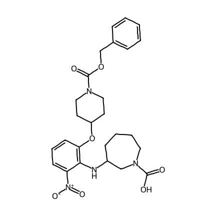 O=C(O)N1CCCCC(Nc2c(OC3CCN(C(=O)OCc4ccccc4)CC3)cccc2[N+](=O)[O-])C1